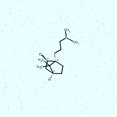 CN(C)CCC[C@@]12CC[C@@H](C[C@H]1Cl)C2(C)C